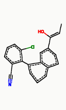 CC=C(O)c1ccc2cccc(-c3c(Cl)cccc3C#N)c2c1